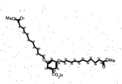 COC(=O)CCCCCCCCCCOc1cc(OCCCCCCCCCCC(=O)OC)cc(C(=O)O)c1